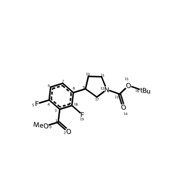 COC(=O)c1c(F)ccc(C2CCN(C(=O)OC(C)(C)C)C2)c1F